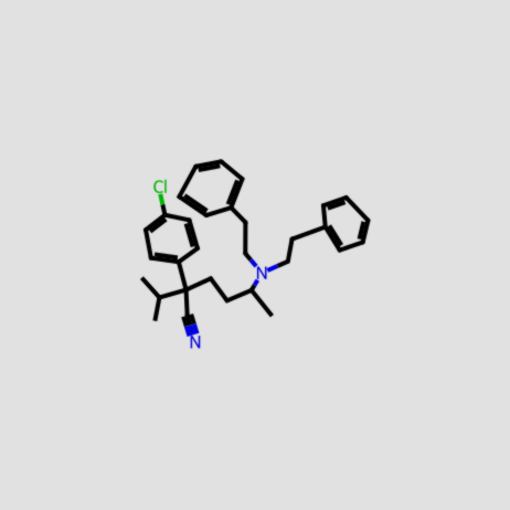 CC(CCC(C#N)(c1ccc(Cl)cc1)C(C)C)N(CCc1ccccc1)CCc1ccccc1